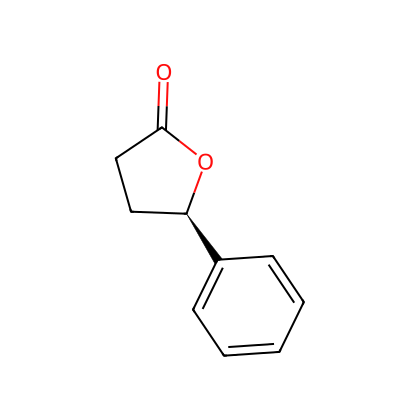 O=C1CC[C@H](c2ccccc2)O1